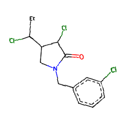 CCC(Cl)C1CN(Cc2cccc(Cl)c2)C(=O)C1Cl